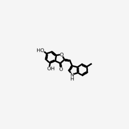 Cc1ccc2[nH]cc(C=C3Oc4cc(O)cc(O)c4C3=O)c2c1